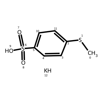 CSc1ccc(S(=O)(=O)O)cc1.[KH]